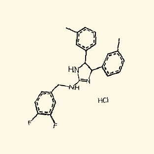 Cc1cccc(C2N=C(NCc3ccc(F)c(F)c3)NC2c2cccc(C)c2)c1.Cl